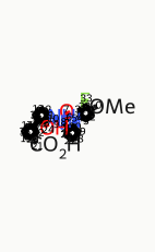 COc1ccc(N2C(=O)C(=NNc3cccc(-c4cccc(C(=O)O)c4)c3O)c3ccccc32)cc1F